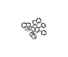 PCC1(c2cc(-c3ccccc3)c(-c3ccccc3)cc2C(P)(c2ccc3ccccc3n2)c2ccc3ccccc3n2)C2CC3CC(C2)CC1C3